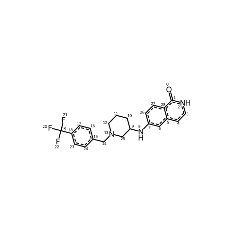 O=c1[nH]ccc2cc(NC3CCCN(Cc4ccc(C(F)(F)F)cc4)C3)ccc12